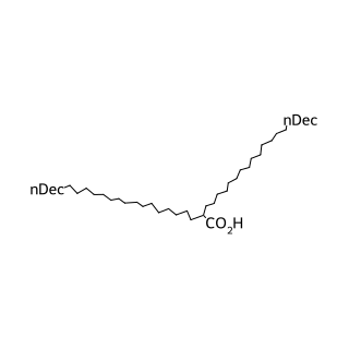 CCCCCCCCCCCCCCCCCCCCCCCCCCC(CCCCCCCCCCCCCCCCCCCCCCCC)C(=O)O